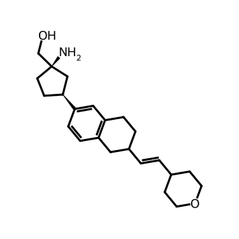 N[C@]1(CO)CC[C@H](c2ccc3c(c2)CCC(/C=C/C2CCOCC2)C3)C1